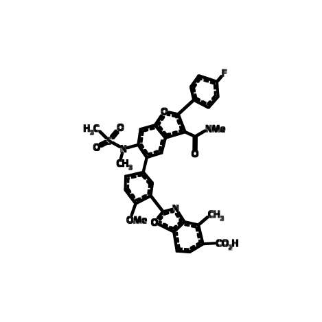 CNC(=O)c1c(-c2ccc(F)cc2)oc2cc(N(C)S(C)(=O)=O)c(-c3ccc(OC)c(-c4nc5c(C)c(C(=O)O)ccc5o4)c3)cc12